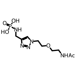 CC(=O)NCCOCCn1cc(CNP(=O)(O)O)nn1